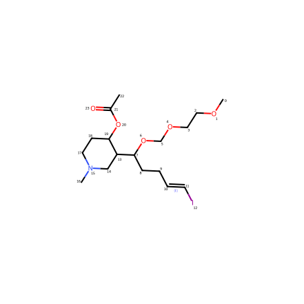 COCCOCOC(CC/C=C/I)C1CN(C)CCC1OC(C)=O